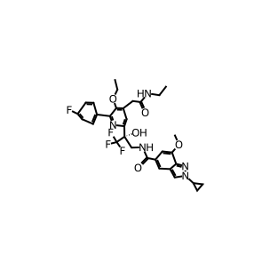 CCNC(=O)Cc1cc([C@@](O)(CNC(=O)c2cc(OC)c3nn(C4CC4)cc3c2)C(F)(F)F)nc(-c2ccc(F)cc2)c1OCC